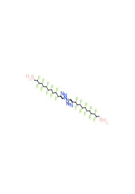 BCC(F)C(F)C(F)C(F)C(F)C(F)C(F)C(F)C(F)C(F)c1cn(-n2cc(C(F)C(F)C(F)C(F)C(F)C(F)C(F)C(F)C(F)C(F)CB)nn2)nn1